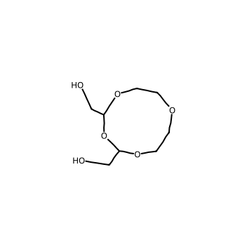 OCC1OCCOCCOC(CO)O1